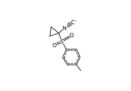 [C-]#[N+]C1(S(=O)(=O)c2ccc(C)cc2)CC1